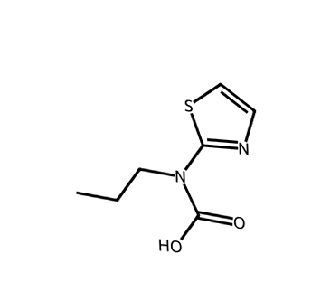 CCCN(C(=O)O)c1nccs1